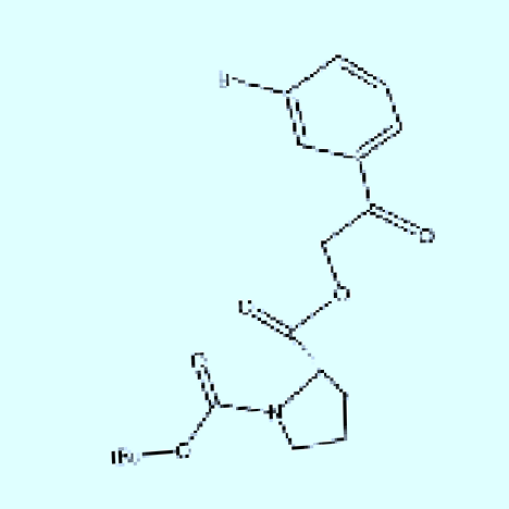 CC(C)(C)OC(=O)N1CCC[C@H]1C(=O)OCC(=O)c1cccc(Br)c1